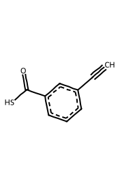 C#Cc1cccc(C(=O)S)c1